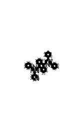 c1ccc(-c2cc(-c3c4ccccc4c(-c4nc(-c5ccccc5)nc(-c5cccnc5)n4)c4ccccc34)nc(-c3ccccc3)n2)cc1